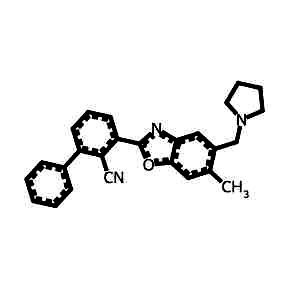 Cc1cc2oc(-c3cccc(-c4ccccc4)c3C#N)nc2cc1CN1CCCC1